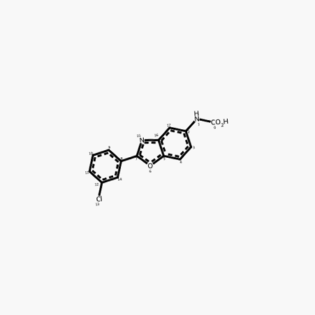 O=C(O)Nc1ccc2oc(-c3cccc(Cl)c3)nc2c1